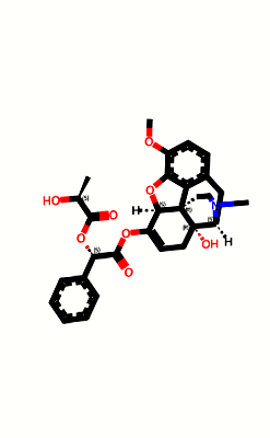 COc1ccc2c3c1O[C@@H]1C(OC(=O)[C@@H](OC(=O)[C@H](C)O)c4ccccc4)=CC[C@]4(O)[C@H](C2)N(C)CC[C@@]314